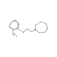 FC(F)(F)c1ccccc1OCCN1CCCCCC1